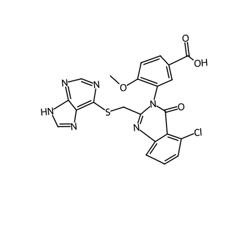 COc1ccc(C(=O)O)cc1-n1c(CSc2ncnc3[nH]cnc23)nc2cccc(Cl)c2c1=O